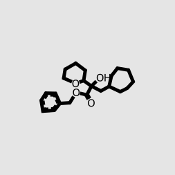 O=C(OCc1ccccc1)C(O)(CC1CCCCCC1)C1CCCCO1